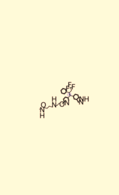 CNC(=O)CCCNCCOc1ccc(/C(=C(/CC(F)(F)F)c2ccccc2)c2ccc3[nH]ncc3c2)cn1